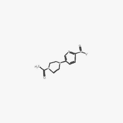 CC(=O)N1CCN(c2ccc([N+](=O)[O-])nc2)CC1